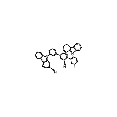 CC1C=CC(n2c3c(c4ccccc42)CCC=C3)=C(c2ccc(-c3cccc(-n4c5ccccc5c5ccc(C#N)cc54)c3)cc2C#N)C1